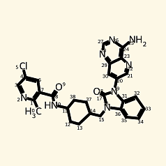 Cc1ncc(Cl)cc1C(=O)NC1CCC(Cn2c(=O)n(-c3cnc4c(N)ncnc4c3)c3ccccc32)CC1